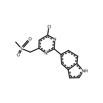 CS(=O)(=O)Cc1cc(Cl)nc(-c2ccc3[nH]ccc3c2)n1